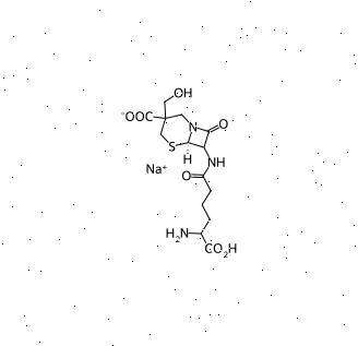 NC(CCCC(=O)NC1C(=O)N2CC(CO)(C(=O)[O-])CS[C@H]12)C(=O)O.[Na+]